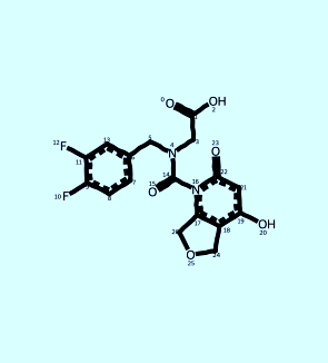 O=C(O)CN(Cc1ccc(F)c(F)c1)C(=O)n1c2c(c(O)cc1=O)COC2